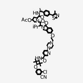 CC(=O)OC1CC(C(=O)N[C@@H](C)c2ccc(-c3scnc3C)cc2)N(C(=O)C(C(C)C)N2Cc3cc(OCCN4CCN(c5ccc(C(=O)NC6C(C)(C)C(Oc7ccc(C#N)c(Cl)c7)C6(C)C)cn5)CC4)ccc3C2=O)C1